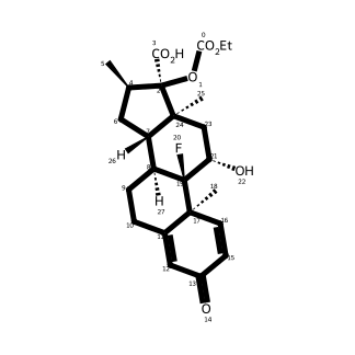 CCOC(=O)O[C@]1(C(=O)O)[C@H](C)C[C@H]2[C@@H]3CCC4=CC(=O)C=C[C@]4(C)[C@@]3(F)[C@@H](O)C[C@@]21C